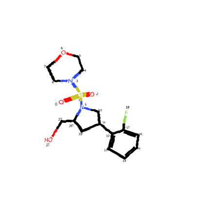 O=S(=O)(N1CCOCC1)N1CC(c2ccccc2F)CC1CO